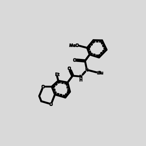 CCc1c(C(=O)NN(C(=O)c2ccccc2OC)C(C)(C)C)ccc2c1OCCO2